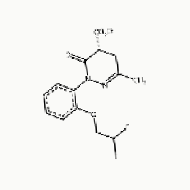 CCOC(=O)[C@@H]1CC(C)=NN(c2ccccc2OCC(F)F)C1=O